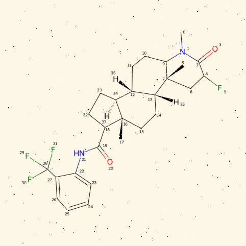 CN1C(=O)C(F)C[C@@]2(C)C1CC[C@@H]1[C@H]2CC[C@]2(C)C(C(=O)Nc3ccccc3C(F)(F)F)CC[C@@H]12